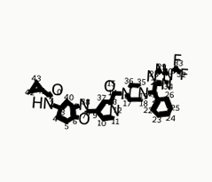 O=C(Nc1ccc2oc(-c3ccnc(C(=O)N4CCN(C(c5ccccc5)c5nnn(C(F)F)n5)CC4)c3)nc2c1)C1CC1